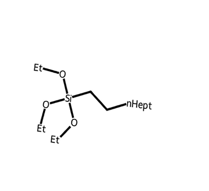 CCCCCCCCC[Si](OCC)(OCC)OCC